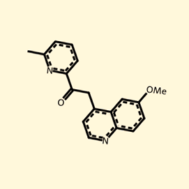 COc1ccc2nccc(CC(=O)c3cccc(C)n3)c2c1